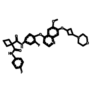 COc1cc2c(Oc3ccc(NC(=O)C4(C(=O)Nc5ccc(F)cc5)CCC4)cc3F)ccnc2cc1OC1CC(N2CCOCC2)C1